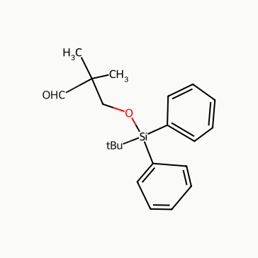 CC(C)(C=O)CO[Si](c1ccccc1)(c1ccccc1)C(C)(C)C